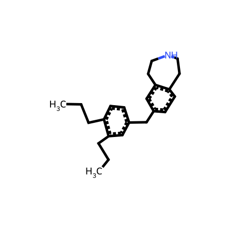 CCCc1ccc(Cc2ccc3c(c2)CCNCC3)cc1CCC